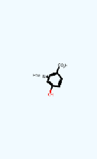 O=C(O)c1ccc(O)cc1.[NaH].[NaH]